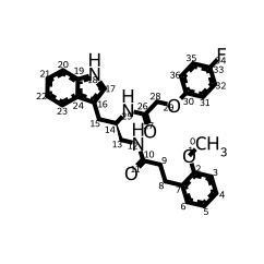 COc1ccccc1CCC(=O)NC[C@@H](Cc1c[nH]c2ccccc12)NC(=O)COc1ccc(F)cc1